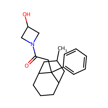 CC1CC2CCCC(C1)C2(CC(=O)N1CC(O)C1)c1ccccc1